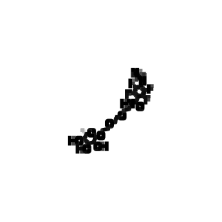 C[C@@H]1OC(OCCOCCOCCNC(=O)c2c(F)c(F)c(N=[N+]=[N-])c(F)c2F)[C@@H](O)C(O)[C@H]1O